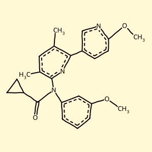 COc1cccc(N(C(=O)C2CC2)c2nc(-c3ccc(OC)nc3)c(C)cc2C)c1